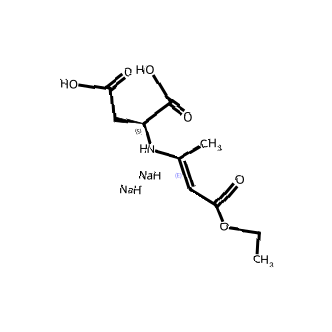 CCOC(=O)/C=C(\C)N[C@@H](CC(=O)O)C(=O)O.[NaH].[NaH]